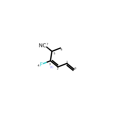 C=C/C=C(/F)C(C)C#N